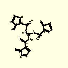 C=C1C=CC=C1C(=O)[O][Al]([O]C(=O)C1=CC=CC1=C)[O]C(=O)C1=CC=CC1=C